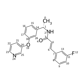 C[C@H](NC(=O)/C=C/c1cccc(F)c1)c1cccc(Oc2cccnc2)c1